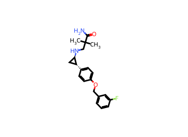 CC(C)(CN[C@@H]1C[C@H]1c1ccc(OCc2cccc(F)c2)cc1)C(N)=O